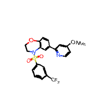 COc1ccnc(-c2ccc3c(c2)N(S(=O)(=O)c2cccc(C(F)(F)F)c2)CCO3)c1